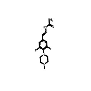 CN1CCN(c2c(F)cc(C=NNC(N)=S)cc2F)CC1